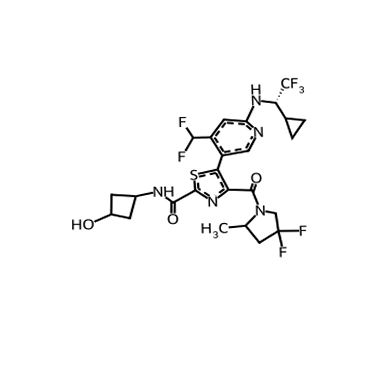 CC1CC(F)(F)CN1C(=O)c1nc(C(=O)NC2CC(O)C2)sc1-c1cnc(N[C@@H](C2CC2)C(F)(F)F)cc1C(F)F